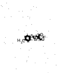 Cc1ccc(SOCC2(Br)COCOC2)cc1